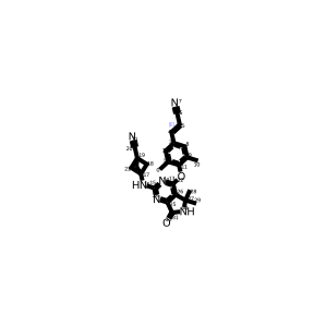 Cc1cc(/C=C/C#N)cc(C)c1Oc1nc(NC23CC(C#N)(C2)C3)nc2c1C(C)(C)NC2=O